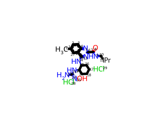 Cc1ccc2nc(C(=O)NCC(C)C)nc(N[C@H]3CCCC[C@H]3N/C(N)=N\O)c2c1.Cl.Cl